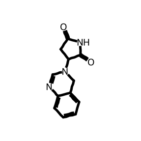 O=C1CC(N2C=Nc3ccccc3C2)C(=O)N1